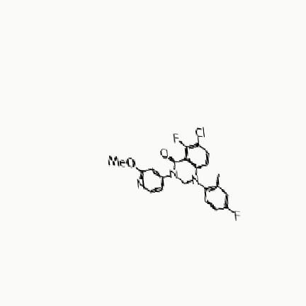 COc1cc(N2CN(c3ccc(F)cc3C)c3ccc(Cl)c(F)c3C2=O)ccn1